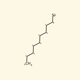 CCCCCCCCC[Si]